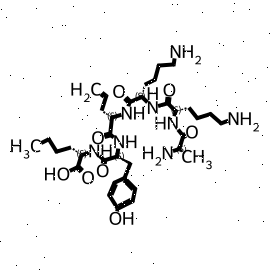 C=CC[C@H](NC(=O)[C@H](CCCCN)NC(=O)[C@H](CCCCN)NC(=O)[C@H](C)N)C(=O)N[C@@H](Cc1ccc(O)cc1)C(=O)N[C@@H](CCCC)C(=O)O